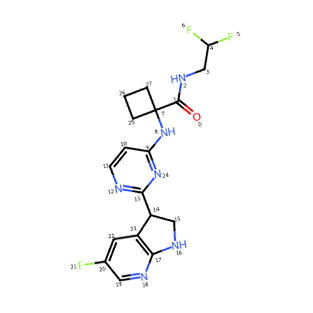 O=C(NCC(F)F)C1(Nc2ccnc(C3CNc4ncc(F)cc43)n2)CCC1